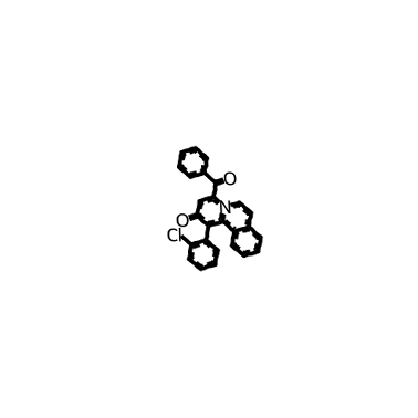 O=C(c1ccccc1)c1cc(=O)c(-c2ccccc2Cl)c2c3ccccc3ccn12